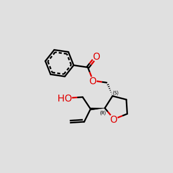 C=CC(CO)[C@@H]1OCC[C@H]1COC(=O)c1ccccc1